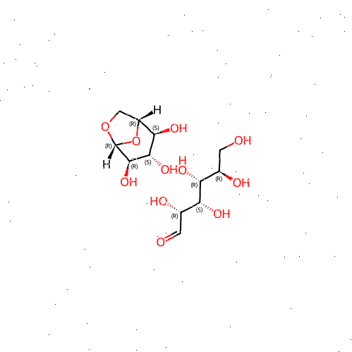 O=C[C@H](O)[C@@H](O)[C@H](O)[C@H](O)CO.O[C@@H]1[C@@H](O)[C@@H]2OC[C@@H](O2)[C@H]1O